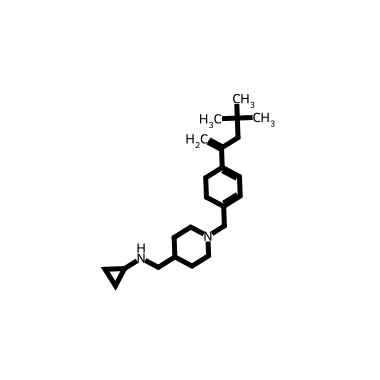 C=C(CC(C)(C)C)C1=CC=C(CN2CCC(CNC3CC3)CC2)CC1